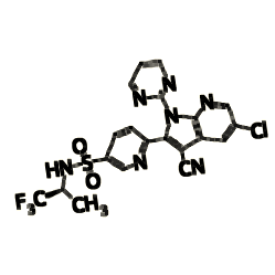 C[C@H](NS(=O)(=O)c1ccc(-c2c(C#N)c3cc(Cl)cnc3n2-c2ncccn2)nc1)C(F)(F)F